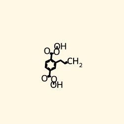 C=CCc1cc(C(=O)OO)ccc1C(=O)OO